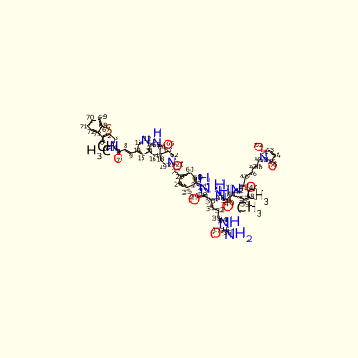 Cc1c(CN(C)C(=O)/C=C/c2cnc3c(c2)CC2(CCN(OCc4ccc(NC(=O)[C@H](CCCNC(N)=O)NC(=O)[C@@H](NC(=O)CCCCCN5C(=O)C=CC5=O)C(C)C)cc4)CC2)C(=O)N3)sc2ccccc12